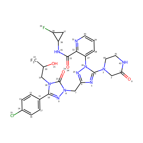 O=C1CN(c2nc(Cn3nc(-c4ccc(Cl)cc4)n(CC(O)C(F)(F)F)c3=O)nn2-c2cccnc2C(=O)NC2CC2F)CCN1